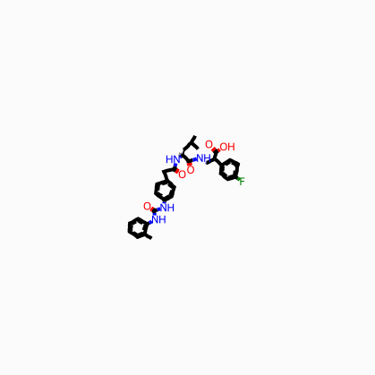 Cc1ccccc1NC(=O)Nc1ccc(CC(=O)N[C@@H](CC(C)C)C(=O)NCC(C(=O)O)c2ccc(F)cc2)cc1